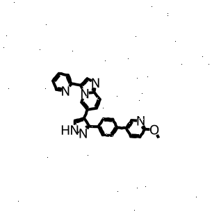 COc1ccc(-c2ccc(-c3n[nH]cc3-c3ccc4ncc(-c5ccccn5)n4c3)cc2)cn1